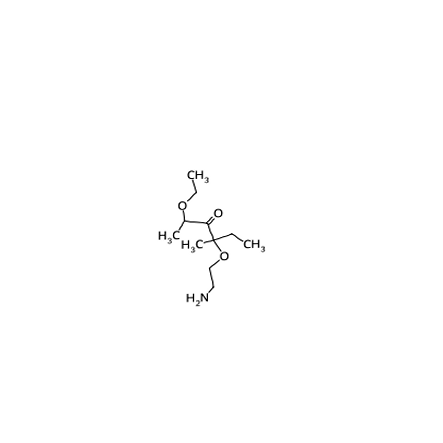 CCOC(C)C(=O)C(C)(CC)OCCN